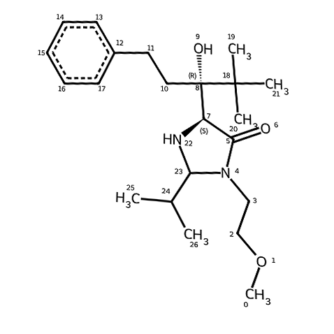 COCCN1C(=O)[C@H]([C@@](O)(CCc2ccccc2)C(C)(C)C)NC1C(C)C